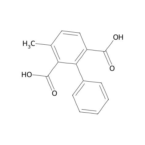 Cc1ccc(C(=O)O)c(-c2ccccc2)c1C(=O)O